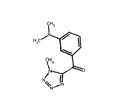 CN(C)c1cccc(C(=O)c2nnnn2C)c1